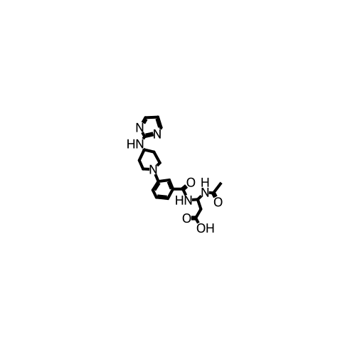 CC(=O)NC(CC(=O)O)NC(=O)c1cccc(N2CCC(Nc3ncccn3)CC2)c1